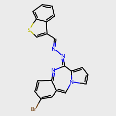 Brc1ccc2nc(=NN=Cc3csc4ccccc34)c3cccn3cc2c1